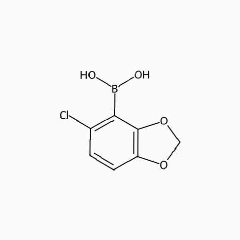 OB(O)c1c(Cl)ccc2c1OCO2